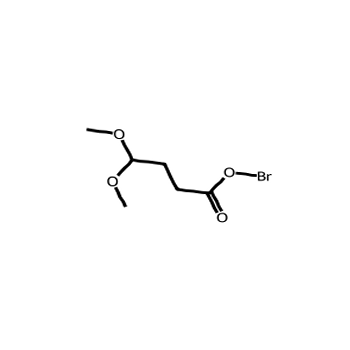 COC(CCC(=O)OBr)OC